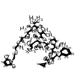 CC[C@H](C)[C@@H]([C@@H](CC(=O)N1CCC[C@H]1[C@H](OC)[C@@H](C)C(=O)N[C@@H](Cc1ccccc1)C(=O)NS(=O)(=O)C1CC1)OC)N(C)C(=O)[C@@H](NC(=O)[C@H](C(C)C)N(C)CCOCCOCCOCCN1C(=O)C=CC1=O)C(C)C